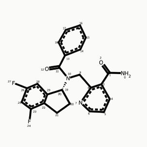 NC(=O)c1cccnc1CN(C(=O)c1ccccc1)[C@@H]1CCc2c(F)cc(F)cc21